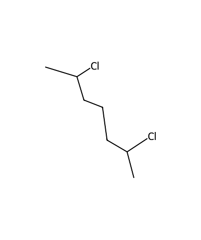 CC(Cl)CCCC(C)Cl